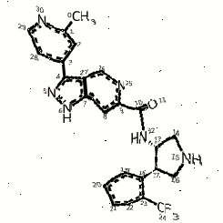 Cc1cc(-c2n[nH]c3cc(C(=O)N[C@@H]4CNC[C@H]4c4ccccc4C(F)(F)F)ncc23)ccn1